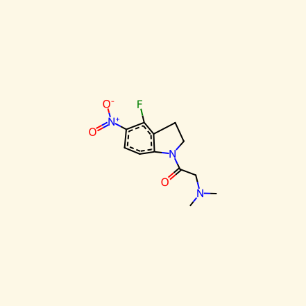 CN(C)CC(=O)N1CCc2c1ccc([N+](=O)[O-])c2F